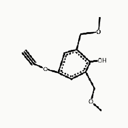 C#COc1cc(COC)c(O)c(COC)c1